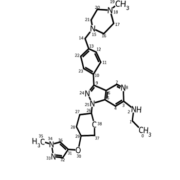 CCNc1cc2c(cn1)c(-c1ccc(CN3CCN(C)CC3)cc1)nn2C1CCC(Oc2cnn(C)c2)CC1